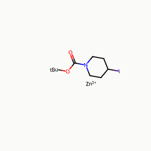 CC(C)(C)OC(=O)N1CCC(I)CC1.[Zn+2]